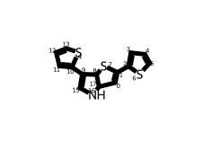 C1=C(c2cccs2)SC2C(c3cccs3)=CNC12